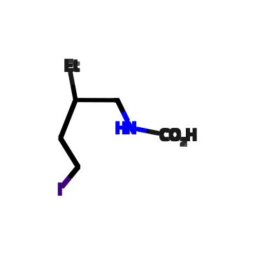 CCC(CCI)CNC(=O)O